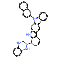 C1=Cc2c([nH]c3cc4c(cc23)c2ccccc2n4-c2ccc3ccccc3c2)C(C2CNc3ccccc3N2)C1